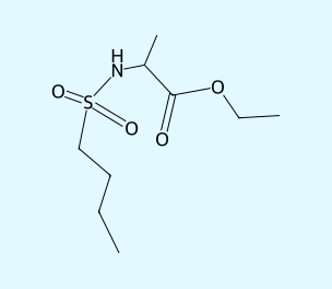 CCCCS(=O)(=O)NC(C)C(=O)OCC